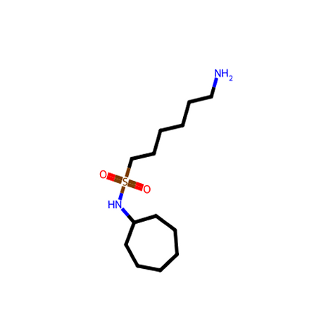 NCCCCCCS(=O)(=O)NC1CCCCCC1